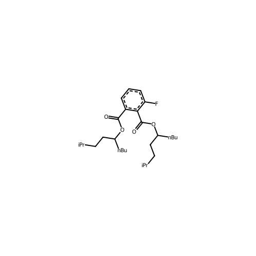 CCCCC(CCC(C)C)OC(=O)c1cccc(F)c1C(=O)OC(CCCC)CCC(C)C